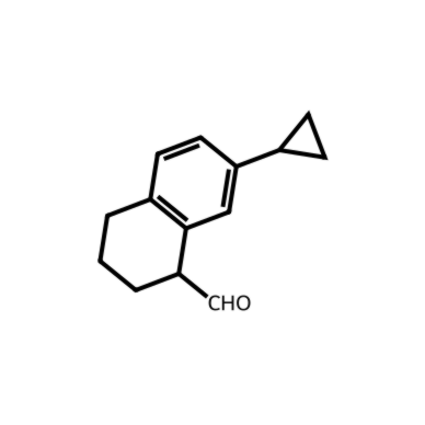 O=CC1CCCc2ccc(C3CC3)cc21